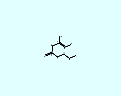 C=C(CCCC)CC(C)=CC